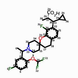 CC(c1cc(F)ccc1OC(F)F)N1CCC2(CCc3ccc([C@H](C4CC4)[C@H](C)C(=O)O)c(F)c3O2)CC1